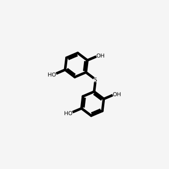 Oc1ccc(O)c(Sc2cc(O)ccc2O)c1